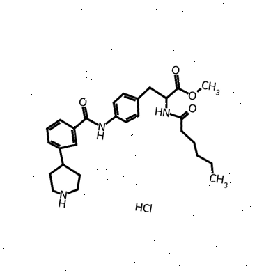 CCCCCC(=O)NC(Cc1ccc(NC(=O)c2cccc(C3CCNCC3)c2)cc1)C(=O)OC.Cl